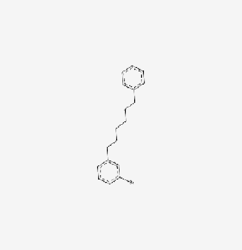 Brc1cccc(CCCCCCc2ccccc2)c1